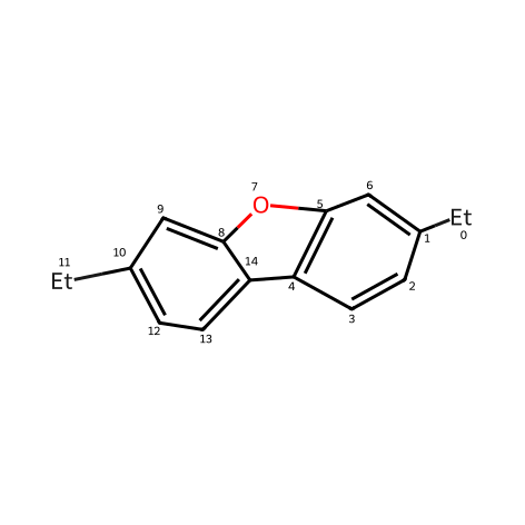 CCc1ccc2c(c1)oc1cc(CC)ccc12